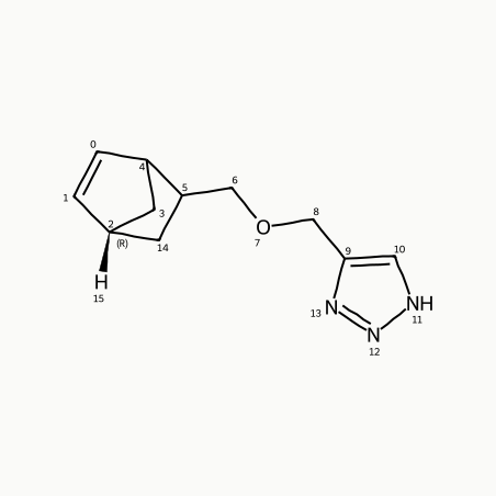 C1=C[C@@H]2CC1C(COCc1c[nH]nn1)C2